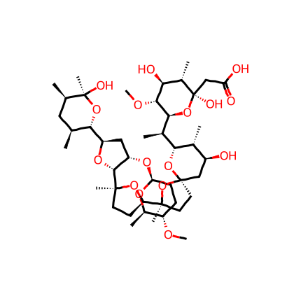 CO[C@@H]1[C@@H](O)[C@H](C)[C@@](O)(CC(=O)O)O[C@H]1[C@H](C)[C@H]1O[C@@]2(CC[C@@](C)([C@H]3CC[C@@](C)([C@@H]4O[C@@H]([C@H]5O[C@](C)(O)[C@H](C)C[C@@H]5C)C[C@@H]4O[C@H]4CC[C@H](OC)[C@@H](C)O4)O3)O2)C[C@H](O)[C@H]1C